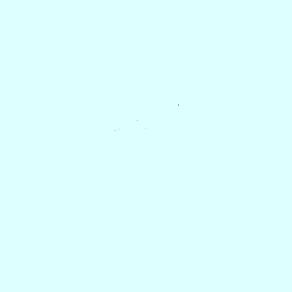 CC1C2CC3C(C)(C2)C1OS3(=O)=O